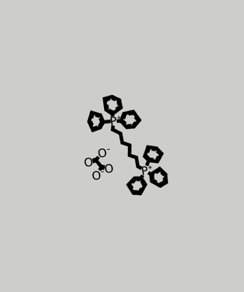 O=C([O-])C(=O)[O-].c1ccc([P+](CCCCCCC[P+](c2ccccc2)(c2ccccc2)c2ccccc2)(c2ccccc2)c2ccccc2)cc1